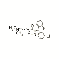 CN(C)CCCNC(=O)c1[nH]c2ccc(Cl)cc2c1-c1ccccc1F